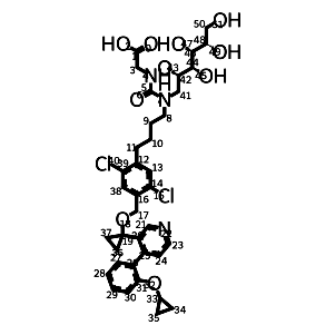 O=C(O)CNC(=O)N(CCCCc1cc(Cl)c(COC2(c3cnccc3-c3ccccc3OC3CC3)CC2)cc1Cl)C[C@@H](O)[C@H](O)[C@@H](O)[C@@H](O)CO